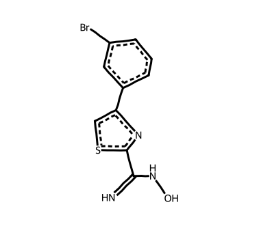 N=C(NO)c1nc(-c2cccc(Br)c2)cs1